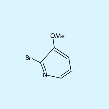 COc1c[c]cnc1Br